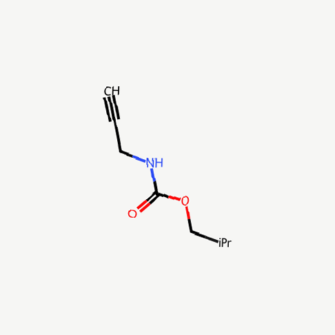 C#CCNC(=O)OCC(C)C